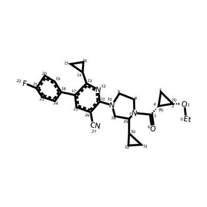 CCO[C@H]1C[C@H]1C(=O)N1CCN(c2nc(C3CC3)c(-c3ccc(F)cc3)cc2C#N)CC1C1CC1